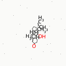 C/C=C(\C)[C@H]1CC[C@H]2[C@@H]3CCC4=CC(=O)CC[C@]4(C)[C@H]3[C@@H](O)C[C@]12C